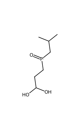 CC(C)C[P](=O)CCC(O)O